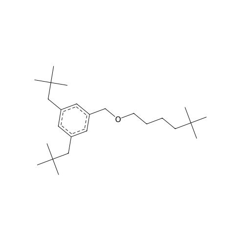 CC(C)(C)CCCCOCc1cc(CC(C)(C)C)cc(CC(C)(C)C)c1